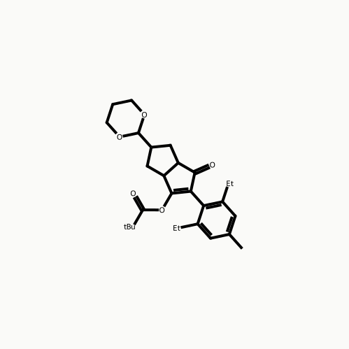 CCc1cc(C)cc(CC)c1C1=C(OC(=O)C(C)(C)C)C2CC(C3OCCCO3)CC2C1=O